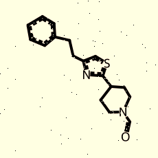 O=CN1CCC(c2nc(CCc3ccccc3)cs2)CC1